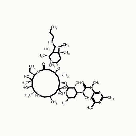 CCCNC[C@]1(O)[C@H](C)O[C@@H](O[C@H]2[C@H](C)[C@@H](O[C@@H]3O[C@H](C)C[C@H](N(C)C(=O)N(C)c4cc(C)nc(C)n4)[C@H]3O)[C@](C)(O)C[C@@H](C)CN[C@H](C)[C@@H](O)[C@](C)(O)[C@@H](CC)OC(=O)[C@@H]2C)C[C@@]1(C)OC